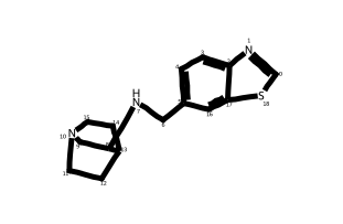 c1nc2ccc(CNC3CN4CCC3CC4)cc2s1